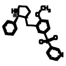 COc1ccc(S(=O)(=O)c2cccnc2)cc1C[C]1CCCN[C@@H]1c1ccccc1